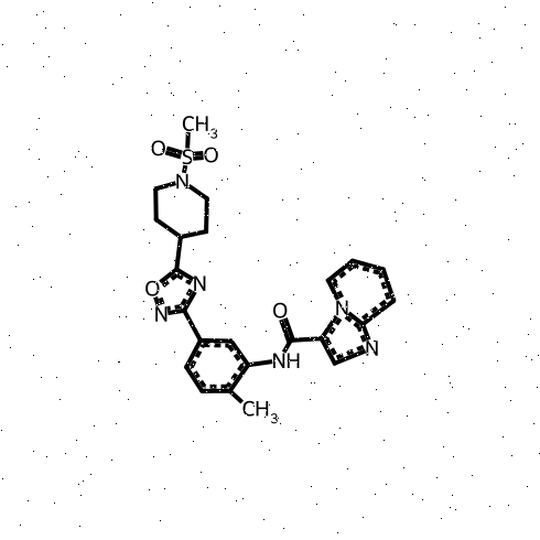 Cc1ccc(-c2noc(C3CCN(S(C)(=O)=O)CC3)n2)cc1NC(=O)c1cnc2ccccn12